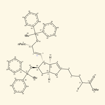 CCCCC[C@@H](/C=C/[C@@H]1[C@H]2C=C(CCCC(F)C(=O)OC)O[C@H]2C[C@H]1O[Si](c1ccccc1)(c1ccccc1)C(C)(C)C)O[Si](c1ccccc1)(c1ccccc1)C(C)(C)C